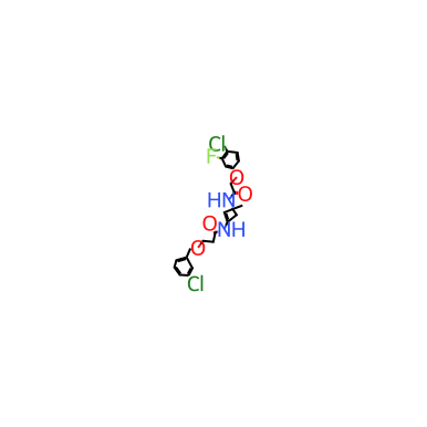 CC1(NC(=O)COc2ccc(Cl)c(F)c2)C=C(NC(=O)CCOCc2cccc(Cl)c2)C1